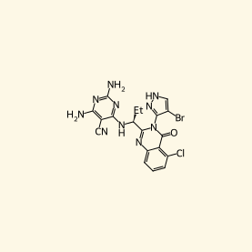 CC[C@H](Nc1nc(N)nc(N)c1C#N)c1nc2cccc(Cl)c2c(=O)n1-c1n[nH]cc1Br